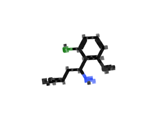 C=CCC(N)c1c(Cl)cccc1OC